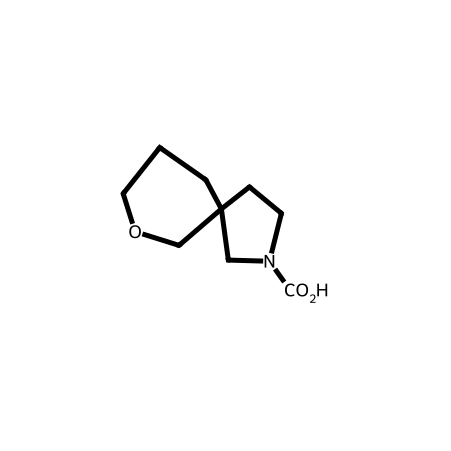 O=C(O)N1CCC2(CCCOC2)C1